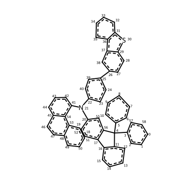 c1ccc(C2(c3ccccc3)c3ccccc3-c3ccc(N(c4ccc(-c5ccc6sc7ccccc7c6c5)cc4)c4cccc5ccc6ccccc6c45)cc32)cc1